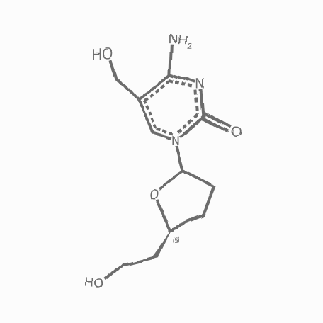 Nc1nc(=O)n(C2CC[C@@H](CCO)O2)cc1CO